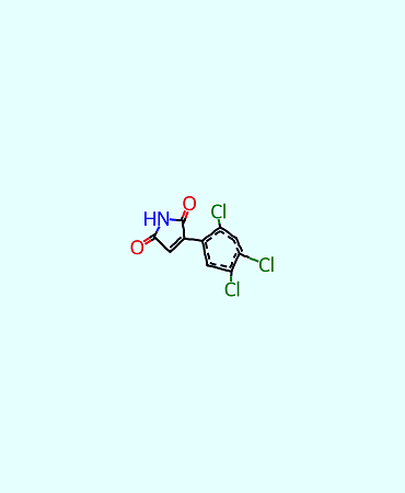 O=C1C=C(c2cc(Cl)c(Cl)cc2Cl)C(=O)N1